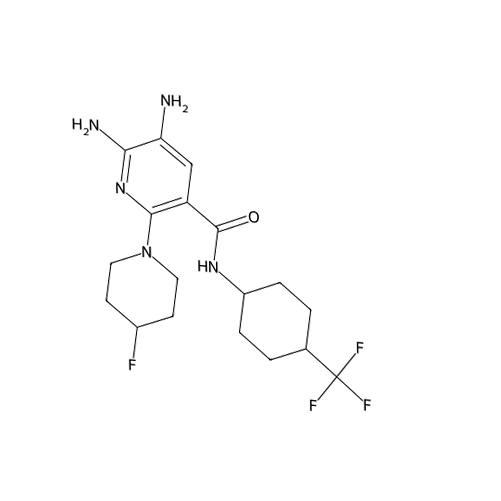 Nc1cc(C(=O)NC2CCC(C(F)(F)F)CC2)c(N2CCC(F)CC2)nc1N